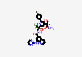 C[C@]1(C(N)=O)COc2c1cc(C(O)(CNC(=O)c1cc(Nc3ncccn3)c3ncccc3c1)C(F)(F)F)nc2-c1ccc(F)cc1